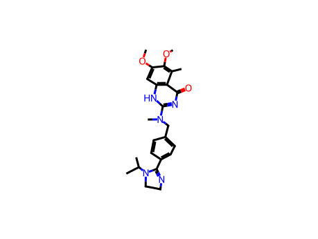 COc1cc2[nH]c(N(C)Cc3ccc(C4=NCCN4C(C)C)cc3)nc(=O)c2c(C)c1OC